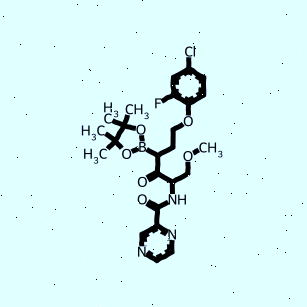 COCC(NC(=O)c1cnccn1)C(=O)C(CCOc1ccc(Cl)cc1F)B1OC(C)(C)C(C)(C)O1